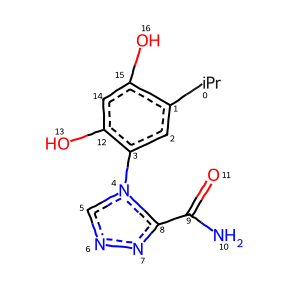 CC(C)c1cc(-n2cnnc2C(N)=O)c(O)cc1O